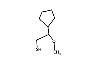 COC(CS)C1CCCC1